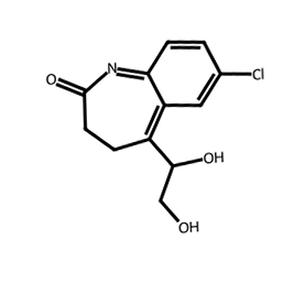 O=C1CCC(C(O)CO)=c2cc(Cl)ccc2=N1